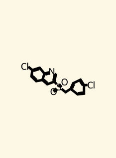 O=S(=O)(Cc1ccc(Cl)cc1)c1cnc2cc(Cl)ccc2c1